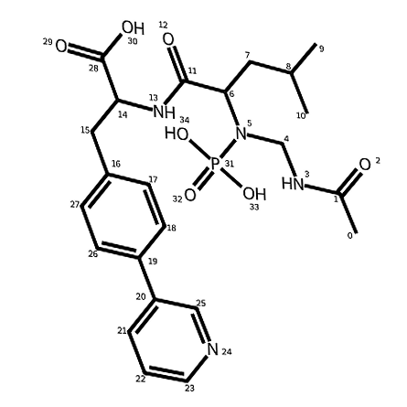 CC(=O)NCN(C(CC(C)C)C(=O)NC(Cc1ccc(-c2cccnc2)cc1)C(=O)O)P(=O)(O)O